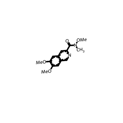 COc1cc2cnc(C(=O)N(C)OC)cc2cc1OC